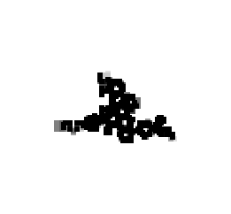 O=C(O)c1ccc(NC(=O)C2c3cccc(C4CCN(C(=O)C(F)(F)F)CC4)c3CCN2C(=O)C=Cc2c(-n3cnnn3)ccc(Cl)c2F)cc1